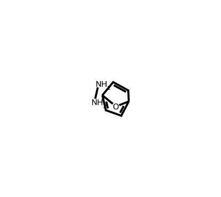 NN.c1cc2ccc1o2